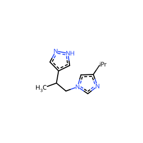 CC(C)c1cn(CC(C)c2cn[nH]c2)cn1